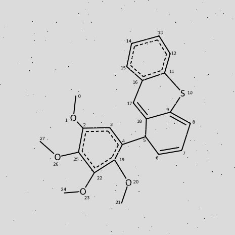 COc1cc(C2C=CC=C3Sc4ccccc4C=C32)c(OC)c(OC)c1OC